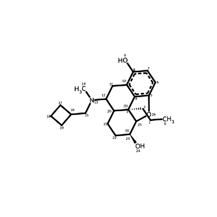 CCC[C@@]12c3c4ccc(O)c3CC(N(C)CC3CCC3)C1CC[C@H](O)C2O4